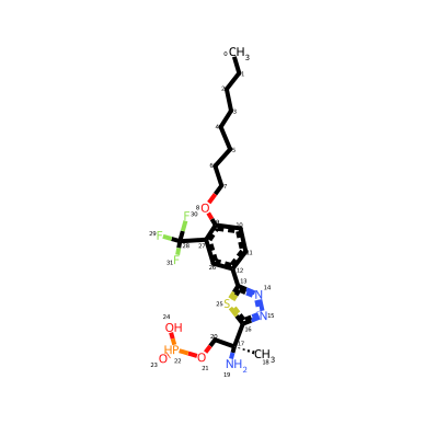 CCCCCCCCOc1ccc(-c2nnc([C@@](C)(N)CO[PH](=O)O)s2)cc1C(F)(F)F